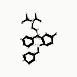 Cc1ccc(OCc2ccccc2)c([C@H](CCN(C(C)C)C(C)C)c2ccccc2)c1